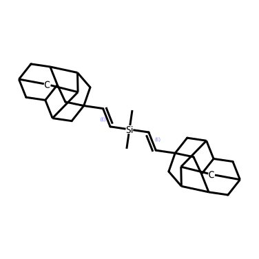 C[Si](C)(/C=C/C12CC3C4CC5CC3C(C1)C(C5)C4C2)/C=C/C12CC3C4CC5CC3C(C1)C(C5)C4C2